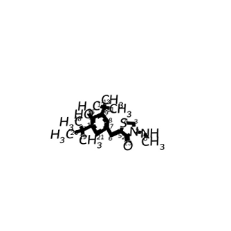 CNN1CS/C(=C\c2cc(C(C)(C)C)c(O)c(C(C)(C)C)c2)C1=O